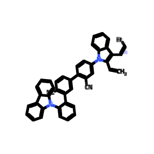 C=Cc1c(/C=C\CC)c2ccccc2n1-c1ccc(-c2ccc(C#N)c(-c3ccccc3-n3c4ccccc4c4ccccc43)c2)c(C#N)c1